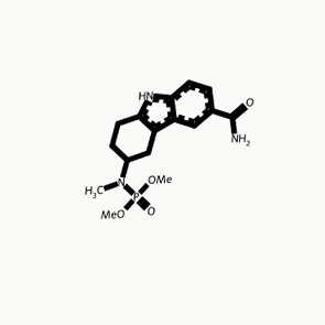 COP(=O)(OC)N(C)C1CCc2[nH]c3ccc(C(N)=O)cc3c2C1